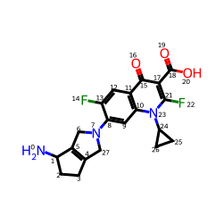 NC1CCC2=C1CN(c1cc3c(cc1F)c(=O)c(C(=O)O)c(F)n3C1CC1)C2